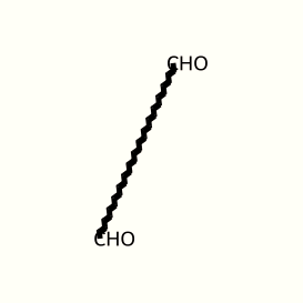 O=CC=CC=CC=CC=CC=CC=CC=CC=CC=CC=CC=CC=CC=CC=CC=CC=O